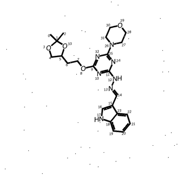 CC1(C)OCC(CCOc2nc(N/N=C/c3c[nH]c4ccccc34)nc(N3CCOCC3)n2)O1